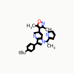 Cc1noc(C)c1-c1cnc2c(-c3ccc(C(C)(C)C)cc3)cn([C@@H](C)c3ccccn3)c2c1